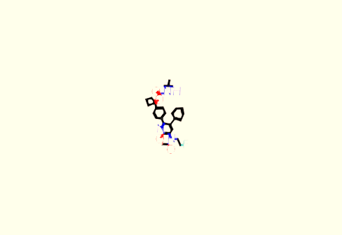 CC(C)(C)NC(=O)OC1(c2ccc(-c3nc4c(cc3-c3ccccc3)N(CCF)C(=O)CO4)cc2)CCC1